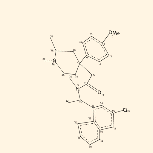 COc1ccc(C2(CC(=O)N(C)C(C)c3cc(Cl)cc4ccccc34)CCN(C)C(C)C2)cc1